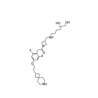 O=C(Cc1c(F)cc(OCCC2CC3(CCNCC3)C2)cc1F)N1CC(CNCCCC[C@H](O)CO)C1